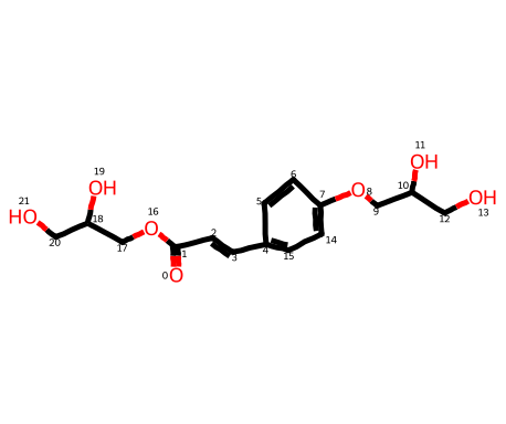 O=C(C=Cc1ccc(OCC(O)CO)cc1)OCC(O)CO